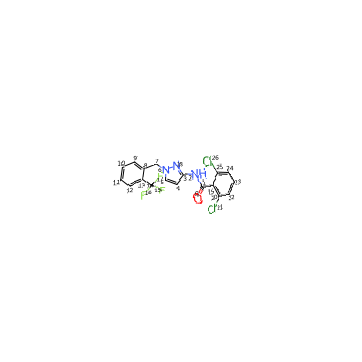 O=C(Nc1ccn(Cc2ccccc2C(F)(F)F)n1)c1c(Cl)cccc1Cl